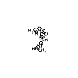 CCn1c(=O)c(-c2ccccc2-c2cncn2C)cc2cnc(Nc3ccc(N4CCNC(C)C4)c(F)c3)nc21